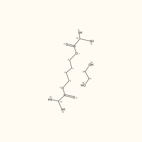 O=C(OCCCCOC(=O)C(S)S)C(S)S.OCCO